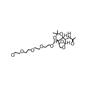 CC(=O)N[C@H]1[C@H]2OC[C@](COCCOCCOCCOCC=O)(O2)[C@@H]2OC(C)(C)O[C@H]12